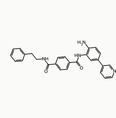 Nc1ccc(-c2cccnc2)cc1NC(=O)c1ccc(C(=O)NCCc2ccccc2)cc1